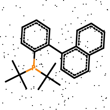 CC(C)(C)P(c1ccccc1-c1cccc2ccccc12)C(C)(C)C